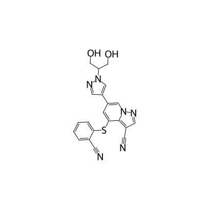 N#Cc1ccccc1Sc1cc(-c2cnn(C(CO)CO)c2)cn2ncc(C#N)c12